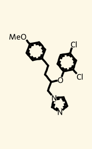 COc1ccc(CCC(Cn2ccnc2)Oc2ccc(Cl)cc2Cl)cc1